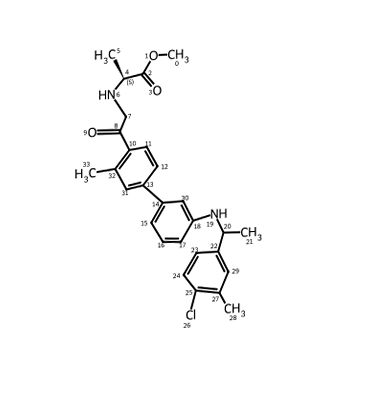 COC(=O)[C@H](C)NCC(=O)c1ccc(-c2cccc(NC(C)c3ccc(Cl)c(C)c3)c2)cc1C